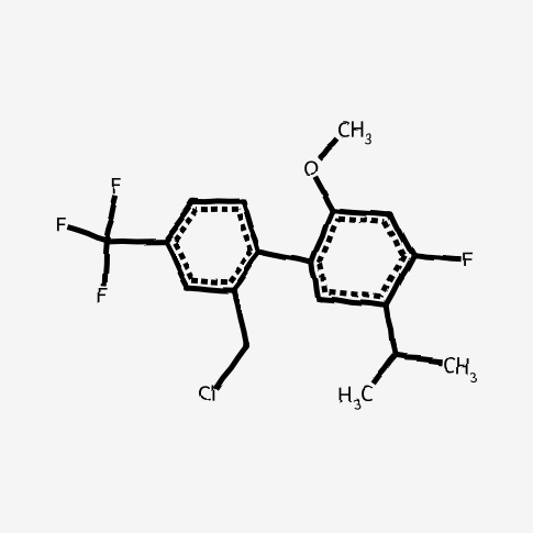 COc1cc(F)c(C(C)C)cc1-c1ccc(C(F)(F)F)cc1CCl